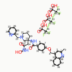 Cc1cc(COc2ccc(C(=O)NC3(CC(=O)NO)CCCN(Cc4ccccn4)C3)cc2)c2ccccc2n1.O=C(O)C(F)(F)F.O=C(O)C(F)(F)F.O=C(O)C(F)(F)F